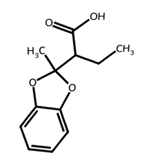 CCC(C(=O)O)C1(C)Oc2ccccc2O1